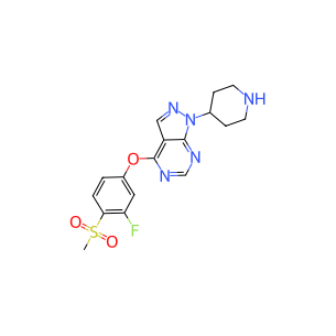 CS(=O)(=O)c1ccc(Oc2ncnc3c2cnn3C2CCNCC2)cc1F